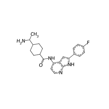 CC(N)C1CCC(C(=O)Nc2ccnc3[nH]c(-c4ccc(F)cc4)cc23)CC1